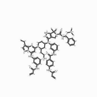 C=CC(=O)Nc1ccc(C(=O)Nc2cccc(N(c3n[nH]c4c3CN(C(=O)N[C@H](CN(C)C)c3ccccc3)C4(C)C)C3CCN(c4cc(Nc5cccc(NC(=O)C=C)c5)n5ncc(CC)c5n4)C(CCO)C3)c2)cc1